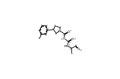 Cc1cccc(C2CCN(C(=O)OC(=O)NC(C)C=O)C2)c1